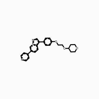 c1cc(-c2ccc3c(-c4ccc(OCCOC5CCOCC5)cc4)cnn3c2)ccn1